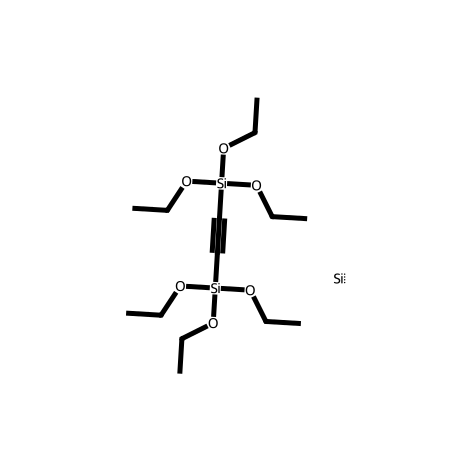 CCO[Si](C#C[Si](OCC)(OCC)OCC)(OCC)OCC.[Si]